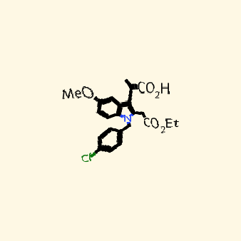 CCOC(=O)Cc1c(C(C)C(=O)O)c2cc(OC)ccc2n1Cc1ccc(Cl)cc1